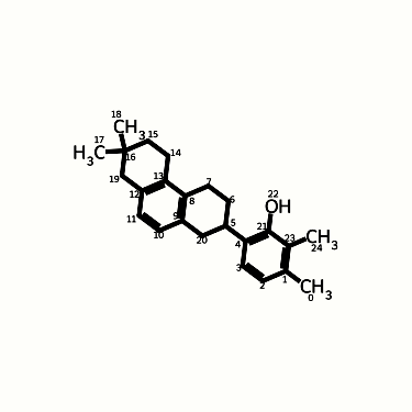 Cc1ccc(C2CCc3c(ccc4c3CCC(C)(C)C4)C2)c(O)c1C